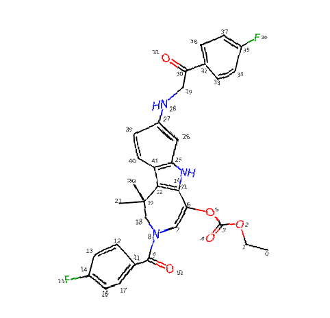 CCOC(=O)OC1=CN(C(=O)c2ccc(F)cc2)CC(C)(C)c2c1[nH]c1cc(NCC(=O)c3ccc(F)cc3)ccc21